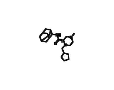 CN1CCN(CC2CCCC2)[C@@H](C(=O)NC2C3CC4CC(C3)CC2C4)C1